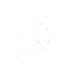 CCC(O)(CC)CN1c2c(cc(C)c(F)c2F)NN1C